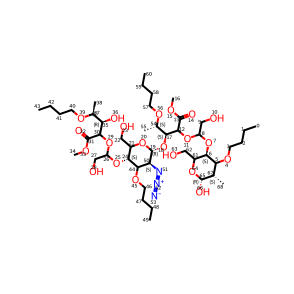 CCCCOC1[C@H](OC(CO)OC(C(=O)OC)[C@@H](O[C@H]2OC(CO)[C@@H](OC(CO)OC(C(=O)OC)[C@H](O)[C@H](C)OCCCC)C(OCCCC)[C@@H]2N=[N+]=[N-])[C@H](C)OCCCC)C(CO)O[C@@H](O)[C@H]1C